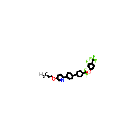 CCCOc1ccc(C2=CCC(C3CCC(C(F)(F)Oc4ccc(C(F)(F)F)c(F)c4)CC3)CC2)nc1